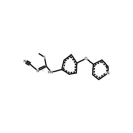 CS/C(=N\C#N)Nc1ccc(Oc2ccncc2)cc1